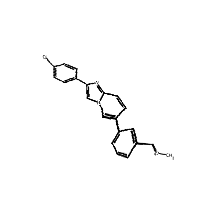 COCc1cccc(-c2ccc3nc(-c4ccc(Cl)cc4)cn3c2)c1